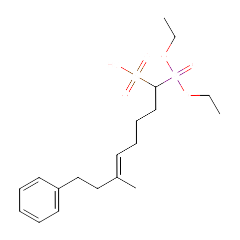 CCOP(=O)(OCC)C(CCCC=C(C)CCc1ccccc1)S(=O)(=O)O